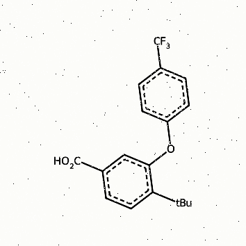 CC(C)(C)c1ccc(C(=O)O)cc1Oc1ccc(C(F)(F)F)cc1